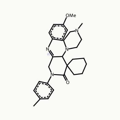 COc1ccc(/N=C2/CN(c3ccc(C)cc3)C(=O)C3(CCCCC3)C2N2CCN(C)CC2)cc1